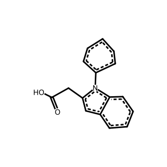 O=C(O)Cc1cc2ccccc2n1-c1ccccc1